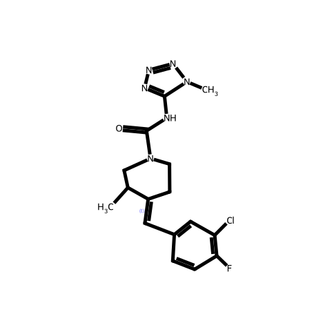 CC1CN(C(=O)Nc2nnnn2C)CC/C1=C\c1ccc(F)c(Cl)c1